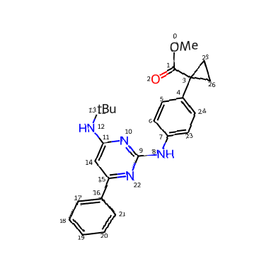 COC(=O)C1(c2ccc(Nc3nc(NC(C)(C)C)cc(-c4ccccc4)n3)cc2)CC1